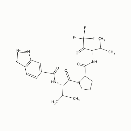 CC(C)[C@H](NC(=O)c1ccc2snnc2c1)C(=O)N1CCC[C@H]1C(=O)N[C@H](C(=O)C(F)(F)F)C(C)C